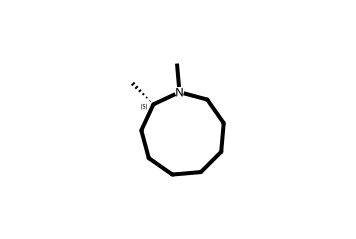 C[C@H]1CCCCCCCN1C